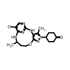 Cc1c2c(nn1C1CCC(=O)CC1)OCCC(C)Nc1nc(ncc1Cl)N2